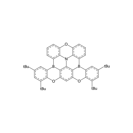 CC(C)(C)c1cc2c(c(C(C)(C)C)c1)Oc1cc3c4c5c1B2c1cccc2c1N5c1c(cccc1B4c1cc(C(C)(C)C)cc(C(C)(C)C)c1O3)O2